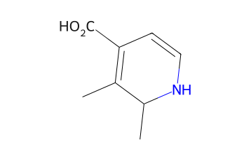 CC1=C(C(=O)O)C=CNC1C